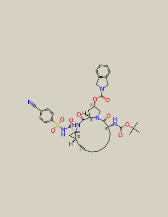 CC(C)(C)OC(=O)N[C@H]1CCCCC/C=C\[C@@H]2C[C@@]2(C(=O)NS(=O)(=O)c2ccc(C#N)cc2)NC(=O)[C@@H]2C[C@@H](OC(=O)N3Cc4ccccc4C3)CN2C1=O